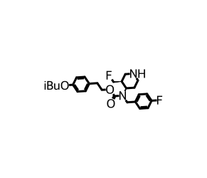 CC(C)COc1ccc(CCOC(=O)N(Cc2ccc(F)cc2)[C@@H]2CCNC[C@@H]2CF)cc1